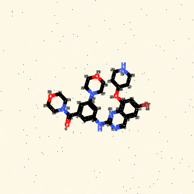 O=C(c1cc(Nc2ncc3cc(Br)cc(OC4CCNCC4)c3n2)cc(N2CCOCC2)c1)N1CCOCC1